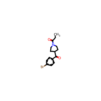 CCC(=O)N1CCC(C(=O)c2ccc(Br)cc2)CC1